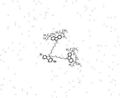 CC(C)(C)c1ccc2c(c1)c1cc(C(C)(C)C)ccc1n2CCCCCCCCC1(CCCCCCCCn2c3ccc(C(C)(C)C)cc3c3cc(C(C)(C)C)ccc32)c2cc(Br)ccc2-c2ccc(Br)cc21